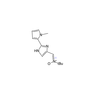 Cn1cccc1-c1nc(/C=[N+](\[O-])C(C)(C)C)c[nH]1